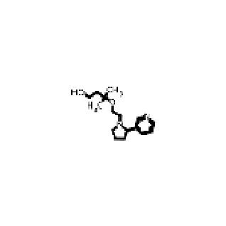 CC(C)(CCO)OCCN1CCCC1c1cccnc1